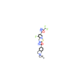 CN1CCc2cc(-c3nn(Cc4ncc(-c5nnc(C(F)F)o5)cc4F)c(=S)o3)ccc2C1